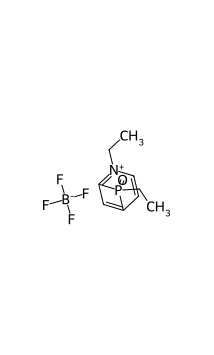 CC[n+]1ccc2cc1P2(=O)CC.F[B-](F)(F)F